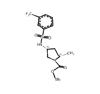 C[C@H]1C[C@@H](NS(=O)(=O)c2cccc(C(F)(F)F)c2)CN1C(=O)OC(C)(C)C